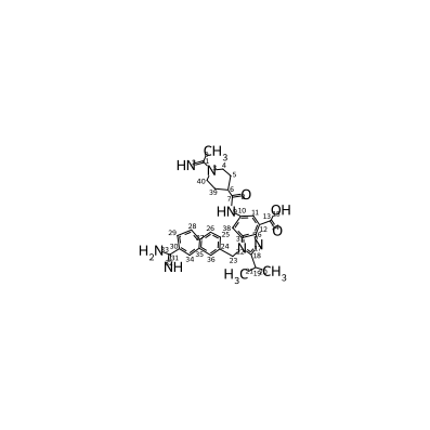 CC(=N)N1CCC(C(=O)Nc2cc(C(=O)O)c3nc(C(C)C)n(Cc4ccc5ccc(C(=N)N)cc5c4)c3c2)CC1